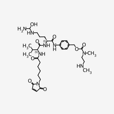 CNCCN(C)C(=O)OCc1ccc(NC(=O)[C@H](CCCNC(N)O)NC(=O)[C@@H](NC(=O)CCCCCN2C(=O)C=CC2=O)C(C)C)cc1